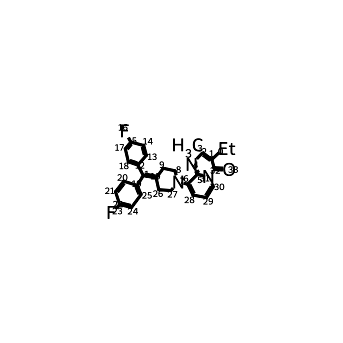 CCc1c(C)nc2c(N3CCC(=C(c4ccc(F)cc4)c4ccc(F)cc4)CC3)cccn2c1=O